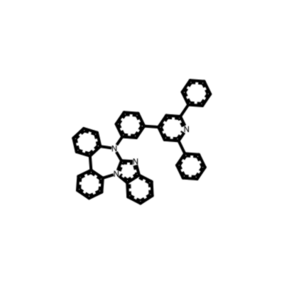 c1ccc(-c2cc(-c3cccc(N4c5ccccc5-c5ccccc5-n5c4nc4ccccc45)c3)cc(-c3ccccc3)n2)cc1